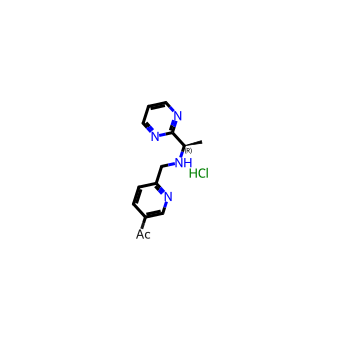 CC(=O)c1ccc(CN[C@H](C)c2ncccn2)nc1.Cl